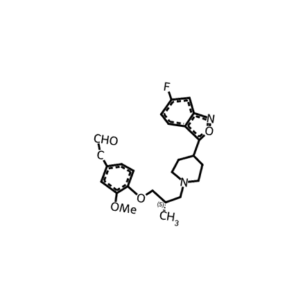 COc1cc(CC=O)ccc1OC[C@@H](C)CN1CCC(c2onc3cc(F)ccc23)CC1